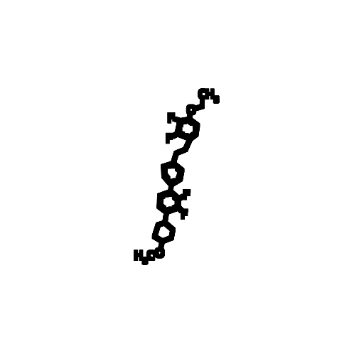 CCOc1ccc(CCc2ccc(-c3ccc(C4CCC(OC)CC4)c(F)c3F)cc2)c(F)c1F